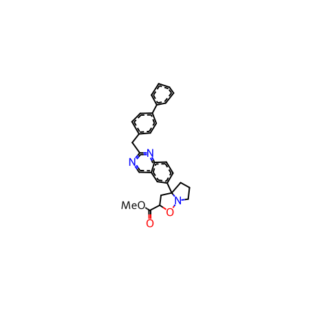 COC(=O)C1CC2(c3ccc4nc(Cc5ccc(-c6ccccc6)cc5)ncc4c3)CCCN2O1